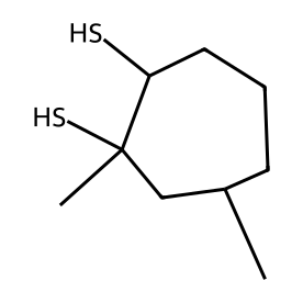 CC1CCCC(S)C(C)(S)C1